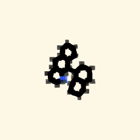 c1ccc2c(-c3c4ccccc4cc4cccnc34)cccc2c1